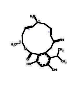 CC(C)c1c(O)cc(O)c2c1CC(=N)/C=C/C[C@H](N)/C=C/C[C@@H](C)OC2=O